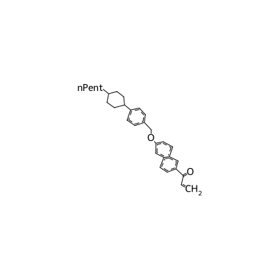 C=CC(=O)c1ccc2cc(OCc3ccc(C4CCC(CCCCC)CC4)cc3)ccc2c1